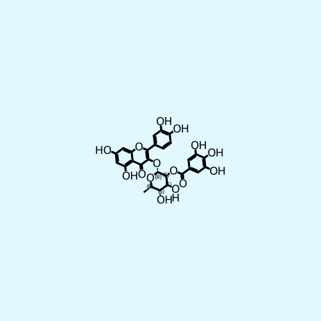 C[C@H]1O[C@H](Oc2c(-c3ccc(O)c(O)c3)oc3cc(O)cc(O)c3c2=O)[C@@H](OC(=O)c2cc(O)c(O)c(O)c2)[C@@H](O)[C@@H]1O